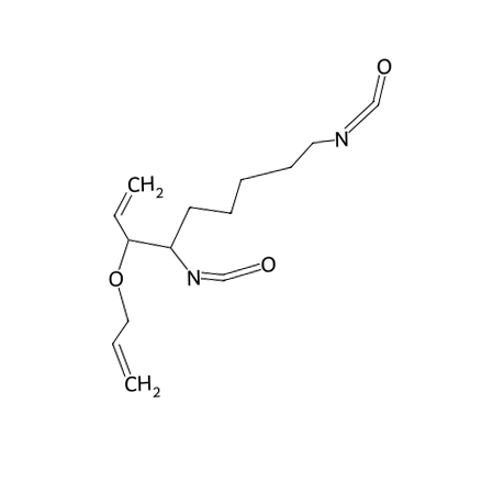 C=CCOC(C=C)C(CCCCCN=C=O)N=C=O